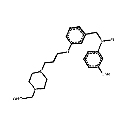 CCN(Cc1cccc(OCCCN2CCN(CC=O)CC2)c1)c1cccc(OC)c1